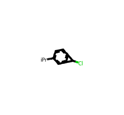 CC(C)c1ccc2c(c1)C2Cl